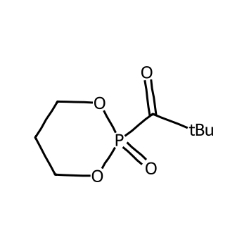 CC(C)(C)C(=O)P1(=O)OCCCO1